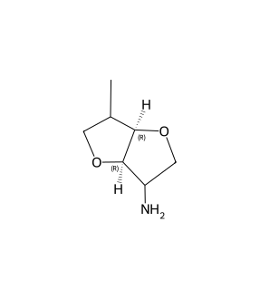 CC1CO[C@@H]2C(N)CO[C@H]12